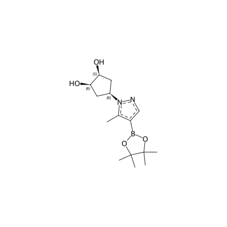 Cc1c(B2OC(C)(C)C(C)(C)O2)cnn1[C@H]1C[C@@H](O)[C@@H](O)C1